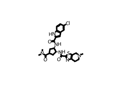 CN1CCc2nc(C(=O)N[C@@H]3CC(C(=O)N(C)C)C[C@H]3NC(=O)c3cc4cc(Cl)ccc4[nH]3)sc2C1